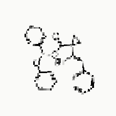 O=C(OC(Oc1ccccc1)c1ccccc1)C1(C(Br)=Cc2ccccc2)CC1